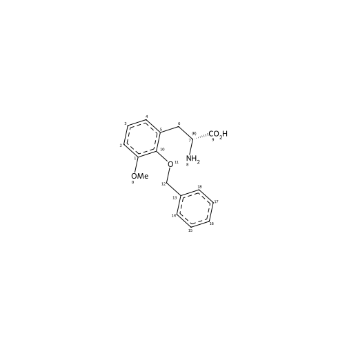 COc1cccc(C[C@@H](N)C(=O)O)c1OCc1ccccc1